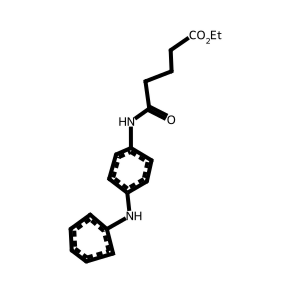 CCOC(=O)CCCC(=O)Nc1ccc(Nc2ccccc2)cc1